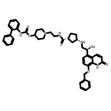 O=C(Nc1ccccc1-c1ccccc1)OC1CCN(CCNC(=O)[C@@H]2CC[C@H](NC[C@@H](O)c3ccc(OCc4ccccc4)c4[nH]c(=O)ccc34)C2)CC1